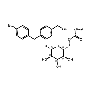 CCCCCC(=O)OC[C@H]1O[C@@H](Oc2cc(CO)ccc2Cc2ccc(CC)cc2)[C@H](O)[C@@H](O)[C@@H]1O